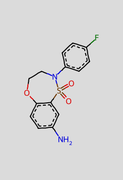 Nc1ccc2c(c1)S(=O)(=O)N(c1ccc(F)cc1)CCO2